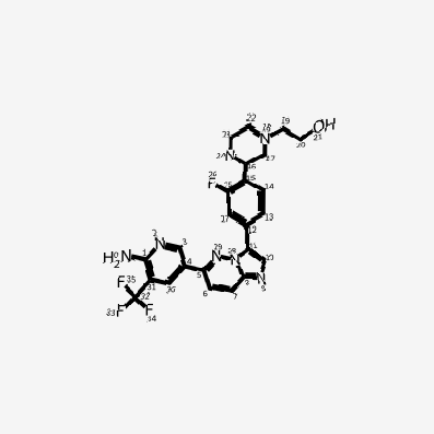 Nc1ncc(-c2ccc3ncc(-c4ccc(C5CN(CCO)CC[N]5)c(F)c4)n3n2)cc1C(F)(F)F